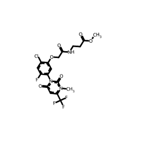 COC(=O)CCNC(=O)COc1cc(-n2c(=O)cc(C(F)(F)F)n(C)c2=O)c(F)cc1Cl